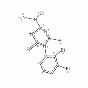 CCc1cccc(-n2c(CC)nc(N(N)CC)nc2=O)c1CC